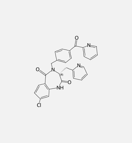 O=C(c1ccc(CN2C(=O)c3ccc(Cl)cc3NC(=O)[C@H]2Cc2ccccn2)cc1)c1ccccn1